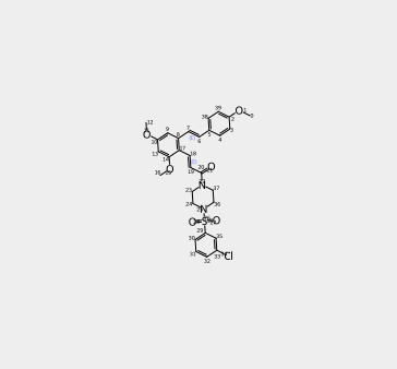 COc1ccc(/C=C/c2cc(OC)cc(OC)c2/C=C/C(=O)N2CCN(S(=O)(=O)c3cccc(Cl)c3)CC2)cc1